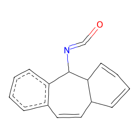 O=C=NC1c2ccccc2C=CC2C=CC=CC21